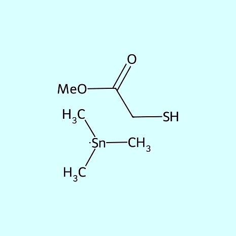 COC(=O)CS.[CH3][Sn]([CH3])[CH3]